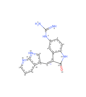 N=C(N)Nc1ccc2c(c1)/C(=C\c1c[nH]c3ncccc13)C(=O)N2